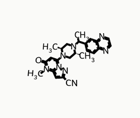 CC(c1ccc2nccnc2c1)N1C[C@H](C)N(c2cc(=O)n(C)c3cc(C#N)nn23)C[C@H]1C